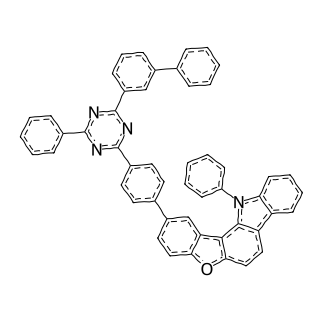 c1ccc(-c2cccc(-c3nc(-c4ccccc4)nc(-c4ccc(-c5ccc6oc7ccc8c9ccccc9n(-c9ccccc9)c8c7c6c5)cc4)n3)c2)cc1